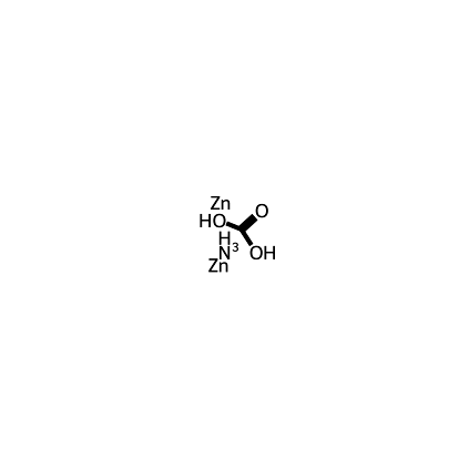 N.O=C(O)O.[Zn].[Zn]